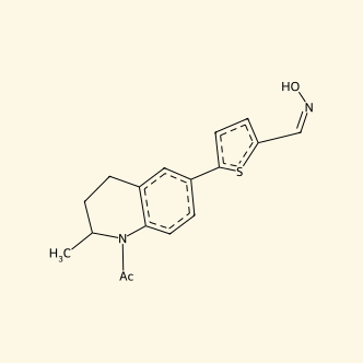 CC(=O)N1c2ccc(-c3ccc(/C=N\O)s3)cc2CCC1C